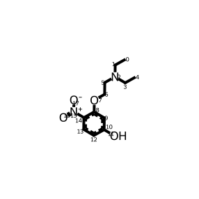 CCN(CC)CCOc1cc(O)ccc1[N+](=O)[O-]